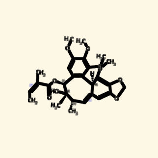 C/C=C(/C)C(=O)O[C@H]1c2cc(OC)c(OC)c(OC)c2[C@H]2C(OC)=C3OCOC3=C/C2=C/[C@H](C)[C@]1(C)O